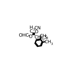 CC(C)(OC#N)OC=O.Cc1ccccc1C.S